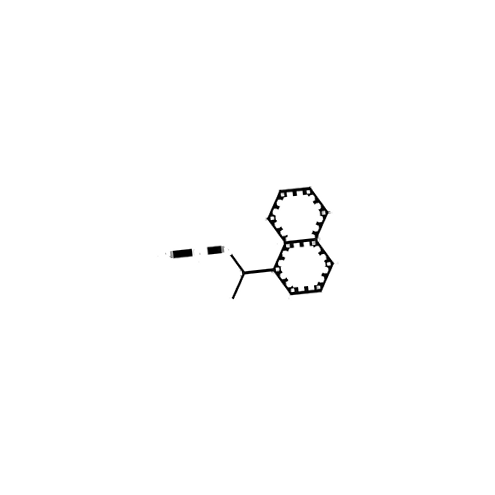 CC(N=[N+]=[N-])c1cccc2ccccc12